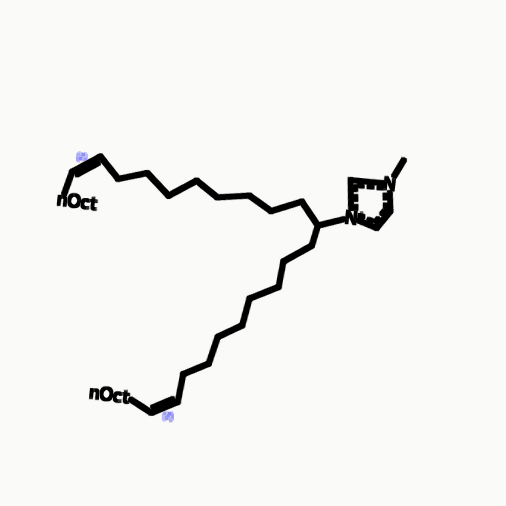 CCCCCCCC/C=C\CCCCCCCCC(CCCCCCCC/C=C\CCCCCCCC)[n+]1ccn(C)c1